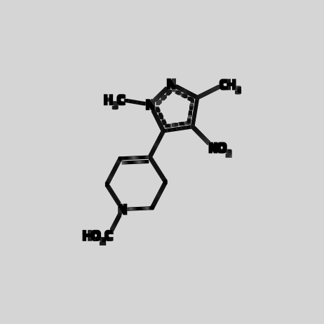 Cc1nn(C)c(C2=CCN(C(=O)O)CC2)c1[N+](=O)[O-]